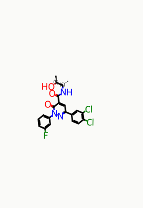 C[C@H](O)[C@H](C)NC(=O)c1cc(-c2ccc(Cl)c(Cl)c2)nn(-c2cccc(F)c2)c1=O